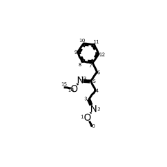 CON=CCC(Cc1ccccc1)=NOC